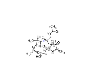 CC(=O)OC/C(=C/[C@@H]1CC(OC(C)=O)C1(C)C)C[C@]1(O)C(=O)C(C)=C[C@H]1[C@@H](O)CCO